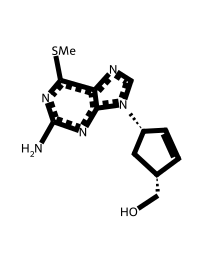 CSc1nc(N)nc2c1ncn2[C@@H]1C=C[C@H](CO)C1